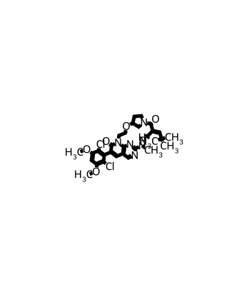 CNc1ncc2cc(-c3c(Cl)c(OC)cc(OC)c3Cl)c(=O)n(CCOC3CCN(C(=O)/C(C#N)=C/C(C)(C)C)C3)c2n1